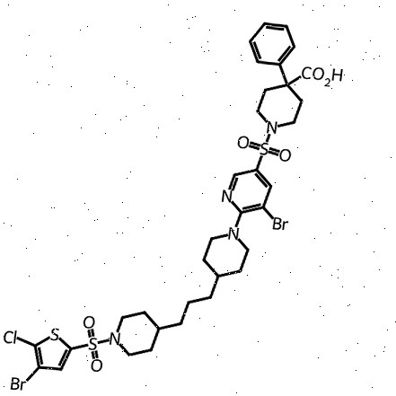 O=C(O)C1(c2ccccc2)CCN(S(=O)(=O)c2cnc(N3CCC(CCCC4CCN(S(=O)(=O)c5cc(Br)c(Cl)s5)CC4)CC3)c(Br)c2)CC1